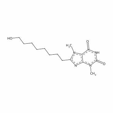 Cn1c(CCCCCCCCO)nc2c1c(=O)[nH]c(=O)n2C